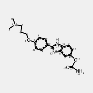 CN(C)CCCOc1ccc(-c2nc3cc(OC(N)=O)ccc3[nH]2)cc1